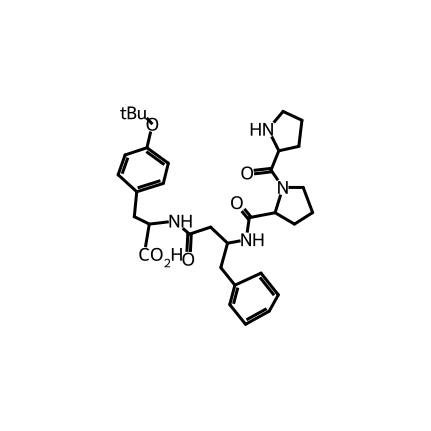 CC(C)(C)Oc1ccc(CC(NC(=O)CC(Cc2ccccc2)NC(=O)C2CCCN2C(=O)C2CCCN2)C(=O)O)cc1